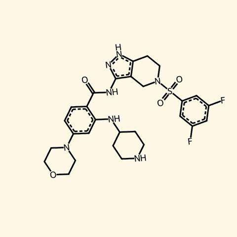 O=C(Nc1n[nH]c2c1CN(S(=O)(=O)c1cc(F)cc(F)c1)CC2)c1ccc(N2CCOCC2)cc1NC1CCNCC1